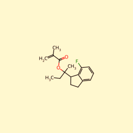 C=C(C)C(=O)OC(C)(CC)C1CCc2cccc(F)c21